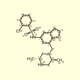 C[C@@H]1CN(Cc2cc(NS(=O)(=O)c3ccccc3Cl)cc3ccoc23)[C@@H](C)CN1